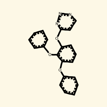 c1ccc(Oc2cccc(Oc3ccnnn3)c2Oc2ccccc2)cc1